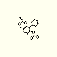 COC(=O)Oc1c(C)nc(C)c(OC(=O)OC)c1-c1ccccc1